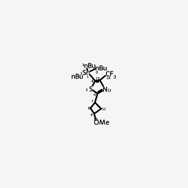 CCC[CH2][Sn]([CH2]CCC)([CH2]CCC)[c]1sc(C2CC(OC)C2)nc1C(F)(F)F